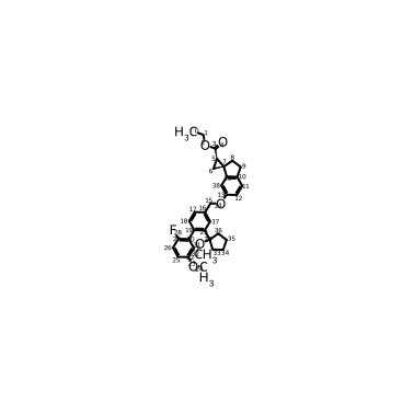 CCOC(=O)[C@@H]1C[C@]12CCc1ccc(OCc3ccc(-c4cc(OC)ccc4F)c(C4(OC)CCCC4)c3)cc12